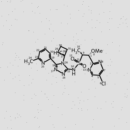 CO[C@H](c1ncc(Cl)cn1)[C@H](C)S(=O)(=O)Nc1nnc(-c2cccc(C)n2)n1C1(C)CCC1